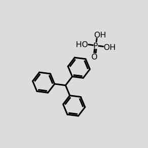 O=P(O)(O)O.c1ccc(C(c2ccccc2)c2ccccc2)cc1